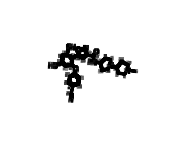 CN1CCC(N2CCC(NC(=O)c3cc(-c4c(O)cc(O)cc4Oc4ccc(C#N)cc4)on3)CC2)CC1